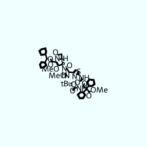 CON=C(C(=O)N[C@@H]1S[C@H]2CC(=O)N2C(C(=O)OC(c2ccccc2)c2ccccc2)=C1OC)c1csc(NC(=O)OCC(C(=O)OC)(c2ccccc2)c2ccccc2NC(=O)OC(C)(C)C)n1